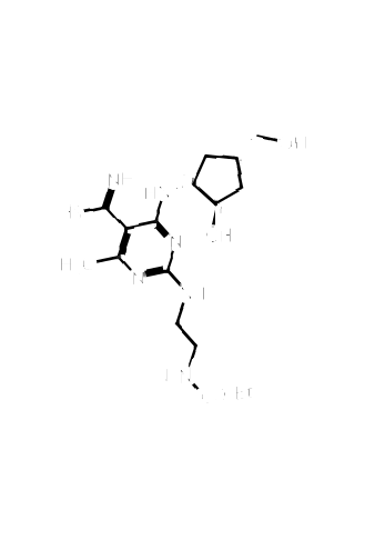 CCOC(=O)NCCNc1nc(C)c(C(=N)S)c(N[C@@H]2C[C@H](CO)C[C@H]2O)n1